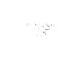 CO[C@H]1C[C@@H](n2nc(N)cc2C(F)(F)C(F)(F)F)C1